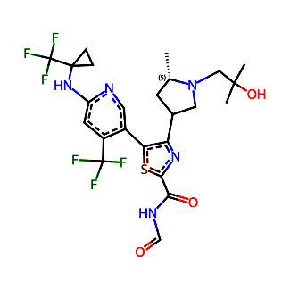 C[C@H]1CC(c2nc(C(=O)NC=O)sc2-c2cnc(NC3(C(F)(F)F)CC3)cc2C(F)(F)F)CN1CC(C)(C)O